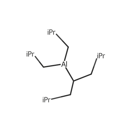 CC(C)C[CH](CC(C)C)[Al]([CH2]C(C)C)[CH2]C(C)C